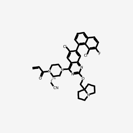 C=CC(=O)N1CCN(c2nc(OCC34CCCN3CCC4)nc3cc(-c4cccc5ccc(F)c(Cl)c45)c(Cl)cc23)C[C@@H]1CC#N